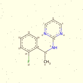 CC(Nc1ncccn1)c1ccccc1F